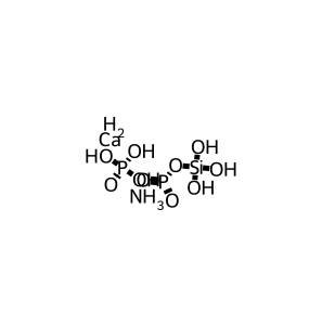 N.O=P(=O)O[Si](O)(O)O.O=P(O)(O)O.[CaH2]